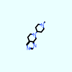 CN1CCC(N2CCc3cncnc3C2)CC1